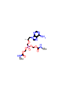 C[C@H](Cn1cnc2c(N)ncnc21)OCP(=O)(OCOC(=O)NC(C)(C)C)OCOC(=O)NC(C)(C)C